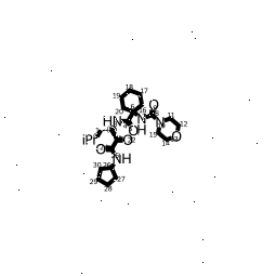 CC(C)C[C@H](NC(=O)C1(NC(=O)N2CCOCC2)CCCCC1)C(=O)C(=O)NC1CCCC1